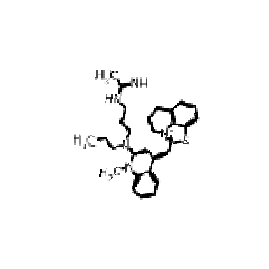 CCCN(CCCNC(C)=N)C1=CC(=Cc2sc3cccc4c3[n+]2CCC4)c2ccccc2N1C